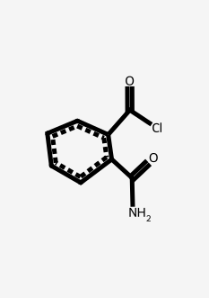 NC(=O)c1ccccc1C(=O)Cl